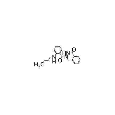 CCCCNc1ccccc1C(=O)N1Cc2ccccc2C(=O)N1